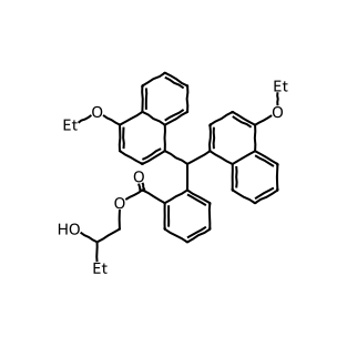 CCOc1ccc(C(c2ccccc2C(=O)OCC(O)CC)c2ccc(OCC)c3ccccc23)c2ccccc12